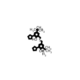 CC(C)(C)c1cc(CSCc2cc(C3CCCC3)c(O)c(C(C)(C)C)c2)c(O)c(C2CCCC2)c1